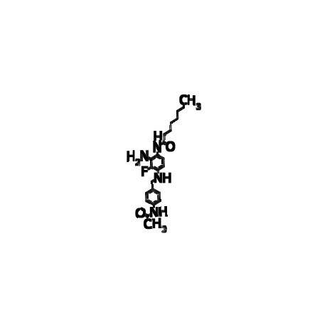 CCCCCCCC(=O)Nc1ccc(NCc2ccc(NC(C)=O)cc2)c(F)c1N